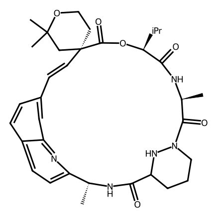 CC(C)[C@@H]1OC(=O)[C@]2(/C=C/c3ccc4ccc(nc4c3)[C@@H](C)NC(=O)C3CCCN(N3)C(=O)[C@H](C)NC1=O)CCOC(C)(C)C2